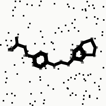 CC(O)COc1ccc(OCCn2nc3c(n2)CCCC3)cc1